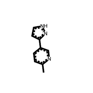 Cc1ccc(-c2cc[nH]n2)cn1